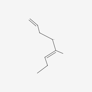 C=CC[CH]C(C)=CCC